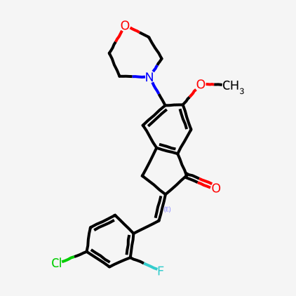 COc1cc2c(cc1N1CCOCC1)C/C(=C\c1ccc(Cl)cc1F)C2=O